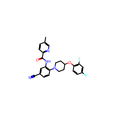 Cc1ccc(C(=O)Nc2cc(C#N)ccc2N2CCC(Oc3ccc(F)cc3F)CC2)nc1